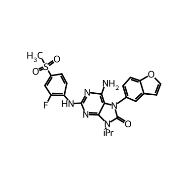 CC(C)n1c(=O)n(-c2ccc3occc3c2)c2c(N)nc(Nc3ccc(S(C)(=O)=O)cc3F)nc21